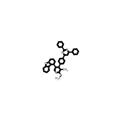 C=Nc1ncc(-c2cccc3oc4ccccc4c23)c(-c2ccc(-c3cc(-c4ccccc4)nc(-c4ccccc4)n3)cc2)c1C